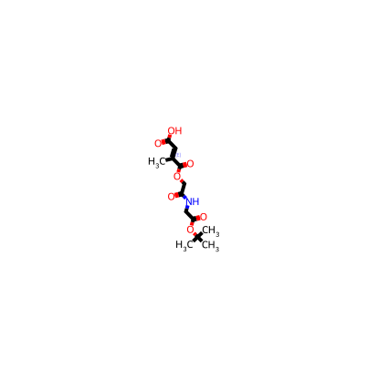 C/C(=C\C(=O)O)C(=O)OCC(=O)NCC(=O)OC(C)(C)C